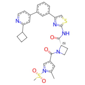 Cc1cc(C(=O)N2CC[C@H]2C(=O)Nc2nc(-c3cccc(-c4ccnc(C5CCC5)c4)c3)cs2)cn1S(C)(=O)=O